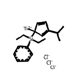 CC[Si](CC)(c1ccccc1)[C]1([Ti+3])C=CC(C(C)C)=C1.[Cl-].[Cl-].[Cl-]